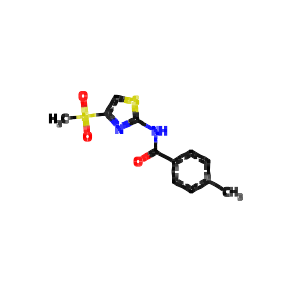 Cc1ccc(C(=O)Nc2nc(S(C)(=O)=O)cs2)cc1